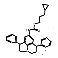 O=C(NCCCC1CC1)Nc1cc2c3c(c1)C(c1ccccc1)CCN3CCC2c1ccccc1